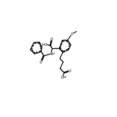 COc1ccc(CCCC(=O)O)c(C(NC(=O)c2ccccc2)C(=O)O)c1